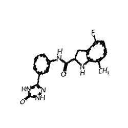 Cc1ccc(F)c2c1NC(C(=O)Nc1cccc(-c3n[nH]c(=O)[nH]3)c1)C2